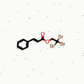 O=C(/C=C/c1ccccc1)OCC(Br)(Br)Br